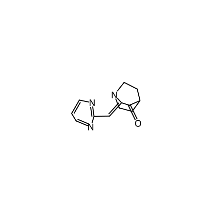 O=C1C(=Cc2ncccn2)N2CCC1CC2